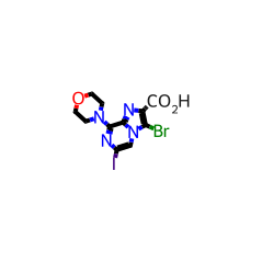 O=C(O)c1nc2c(N3CCOCC3)nc(I)cn2c1Br